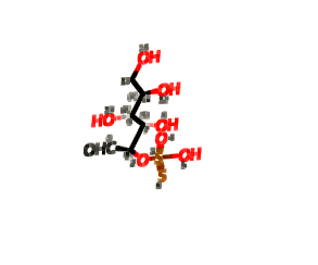 O=C[C@H](OS(=O)(O)=S)[C@@H](O)[C@H](O)[C@H](O)CO